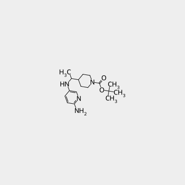 CC(Nc1ccc(N)nc1)C1CCN(C(=O)OC(C)(C)C)CC1